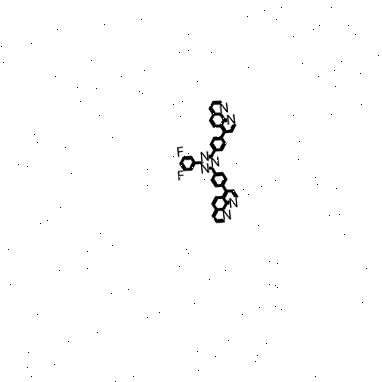 Fc1cc(F)cc(-c2nc(-c3ccc(-c4ccnc5c4ccc4cccnc45)cc3)nc(-c3ccc(-c4ccnc5c4ccc4cccnc45)cc3)n2)c1